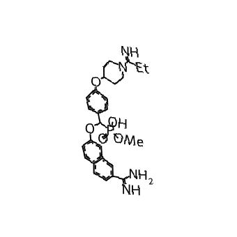 CCC(=N)N1CCC(Oc2ccc(C(Oc3ccc4ccc(C(=N)N)cc4c3)P(=O)(O)OC)cc2)CC1